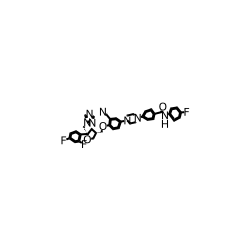 N#Cc1cc(N2CCN(c3ccc(C(=O)Nc4ccc(F)cc4)cc3)CC2)ccc1OC[C@@H]1CO[C@@](Cn2cncn2)(c2ccc(F)cc2F)C1